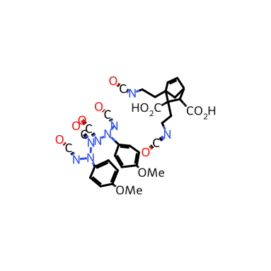 COc1ccc(N(N=C=O)N=C=O)cc1.COc1ccc(N(N=C=O)N=C=O)cc1.O=C=NCCC12C=CC(C1)C(C(=O)O)C2(CCN=C=O)C(=O)O